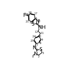 CN1CCS/C1=N\c1ccc(CCNc2nc3ccc(F)cc3s2)cc1